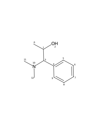 CC(O)C(c1ccccc1)N(C)C